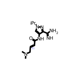 CC(C)n1cc(NC(=O)/C=C/CN(C)C)c(C(=N)N)n1